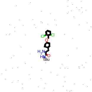 CC(C)(C)NC(=O)[C@@H](N)Cc1ccc(OCc2c(Cl)cccc2Cl)cc1